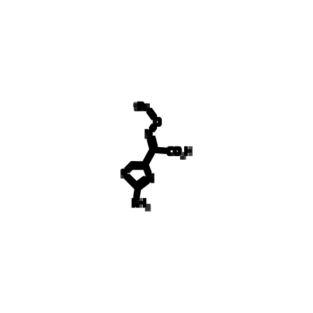 CC(C)(C)ON=C(C(=O)O)c1csc(N)n1